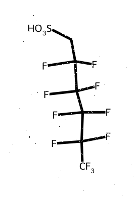 O=S(=O)(O)CC(F)(F)C(F)(F)C(F)(F)C(F)(F)C(F)(F)F